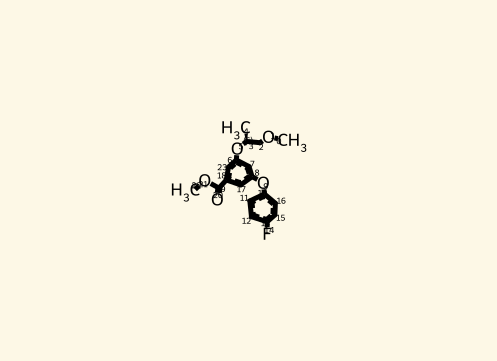 COC[C@H](C)Oc1cc(Oc2ccc(F)cc2)cc(C(=O)OC)c1